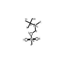 CN(COS(C)(=O)=O)C(C)(C)C